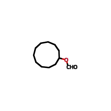 O=COC1CCCCCCCCCC1